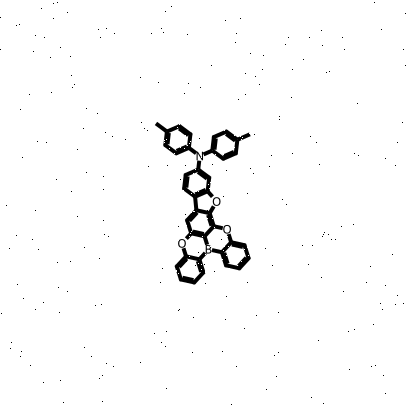 Cc1ccc(N(c2ccc(C)cc2)c2ccc3c(c2)oc2c4c5c(cc23)Oc2ccccc2B5c2ccccc2O4)cc1